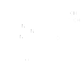 CC1(C)c2ccc(-c3cccc(-c4nc(-c5ccccc5)nc(-c5ccc6c(c5)oc5ccccc56)n4)c3)cc2-c2c1ccc1c2oc2ccccc21